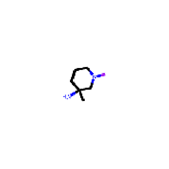 CC1(N)CCCN(I)C1